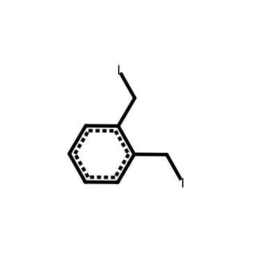 ICc1ccccc1CI